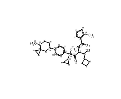 CCC(C1CCC1)[C@H](NC(=O)c1ccnn1C)C(=O)[N+](C)(c1ccc(N2CCN(C)C3(CC3)C2)nc1)C1CC1